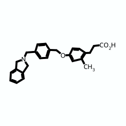 Cc1cc(OCc2ccc(CN3Cc4ccccc4C3)cc2)ccc1CCC(=O)O